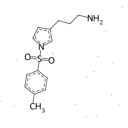 Cc1ccc(S(=O)(=O)n2ccc(CCCN)c2)cc1